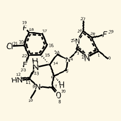 Cc1nc(N2C[C@H]3C(=O)N(C)C(=N)N[C@@]3(c3ccc(F)c(Cl)c3F)C2)nc(C)c1F